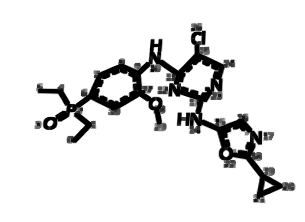 CCP(=O)(CC)c1ccc(Nc2nc(Nc3cnc(C4CC4)o3)ncc2Cl)c(OC)c1